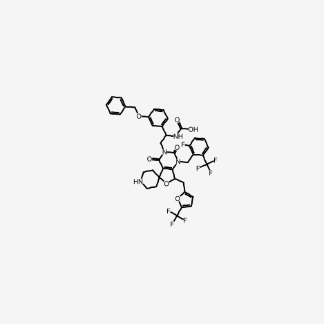 O=C(O)NC(Cn1c(=O)c2c(n(Cc3c(F)cccc3C(F)(F)F)c1=O)C(Cc1ccc(C(F)(F)F)o1)OC21CCNCC1)c1cccc(OCc2ccccc2)c1